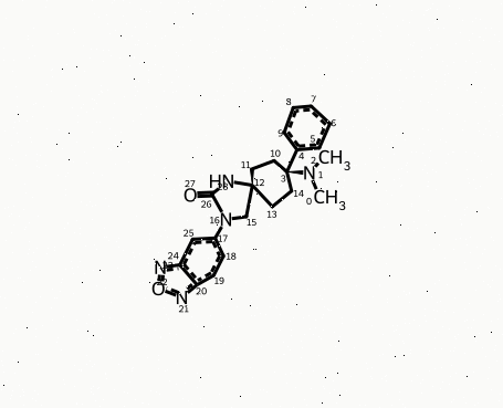 CN(C)[C@]1(c2ccccc2)CC[C@@]2(CC1)CN(c1ccc3nonc3c1)C(=O)N2